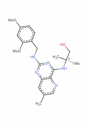 CCCC[C@](C)(CO)Nc1nc(NCc2ccc(OC)cc2OC)nc2cc(C)cnc12